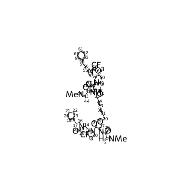 CN[C@@H](C)C(=O)NC(C(=O)N1CCC[C@H]1CN(CCc1ccccc1)C(=O)C(F)(F)F)[C@@H](C)OCC#CC#CCOC(C)[C@H](N[C@@H](O)[C@H](C)NC)C(=O)N1CCC[C@H]1CN(CCCc1ccccc1)C(=O)C(F)(F)F